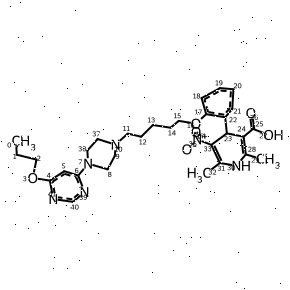 CCCOc1cc(N2CCN(CCCCCOc3ccccc3C3C(C(=O)O)=C(C)NC(C)=C3[N+](=O)[O-])CC2)ncn1